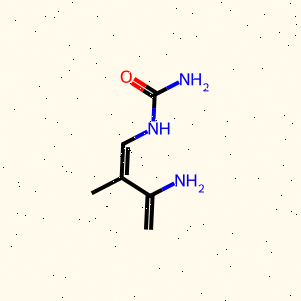 C=C(N)/C(C)=C\NC(N)=O